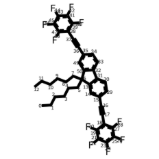 CCCCCCC1(CCCCCC)c2cc(C#Cc3c(F)c(F)c(F)c(F)c3F)ccc2-c2ccc(C#Cc3c(F)c(F)c(F)c(F)c3F)cc21